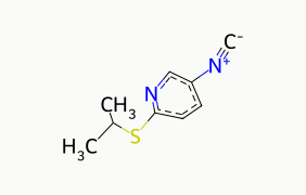 [C-]#[N+]c1ccc(SC(C)C)nc1